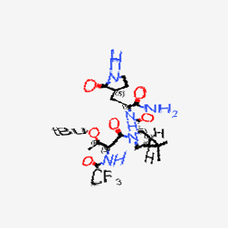 C[C@@H](OC(C)(C)C)[C@H](NC(=O)C(F)(F)F)C(=O)N1C[C@H]2[C@@H]([C@H]1C(=O)N[C@@H](C[C@@H]1CCNC1=O)C(N)=O)C2(C)C